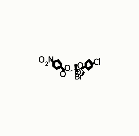 O=C(OC[C@@H]1CO[C@@](CBr)(c2ccc(Cl)cc2)O1)c1ccc([N+](=O)[O-])cc1